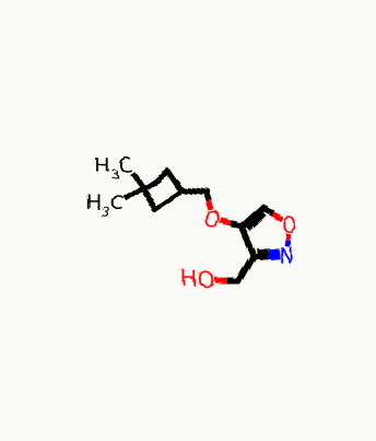 CC1(C)CC(COc2conc2CO)C1